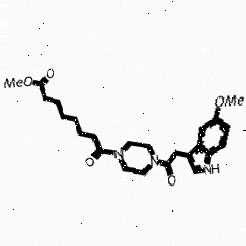 COC(=O)CCCCCCC(=O)N1CCN(C(=O)Cc2c[nH]c3ccc(OC)cc23)CC1